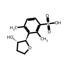 Cc1ccc(S(=O)(=O)O)c(C)c1[C@H]1OCC[C@@H]1O